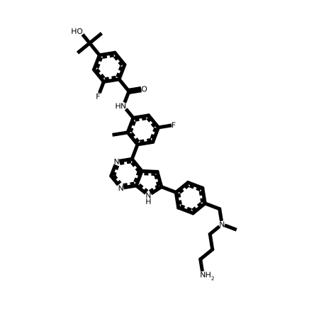 Cc1c(NC(=O)c2ccc(C(C)(C)O)cc2F)cc(F)cc1-c1ncnc2[nH]c(-c3ccc(CN(C)CCCN)cc3)cc12